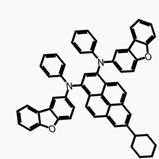 c1ccc(N(c2ccc3oc4ccccc4c3c2)c2cc(N(c3ccccc3)c3ccc4oc5ccccc5c4c3)c3ccc4cc(C5CCCCC5)cc5ccc2c3c54)cc1